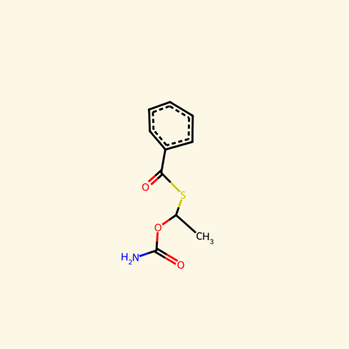 CC(OC(N)=O)SC(=O)c1ccccc1